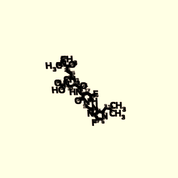 CC(C)Cc1ncc(F)c2nc(Cn3cc(F)cc(NC(=O)[C@@H](CC/C=C/C(=O)N(C)C)CN(C)C(=O)O)c3=O)[nH]c12